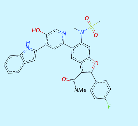 CNC(=O)c1c(-c2ccc(F)cc2)oc2cc(N(C)S(C)(=O)=O)c(-c3cc(-c4cc5ccccc5[nH]4)c(O)cn3)cc12